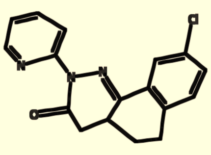 O=C1CC2CCc3ccc(Cl)cc3C2=NN1c1ccccn1